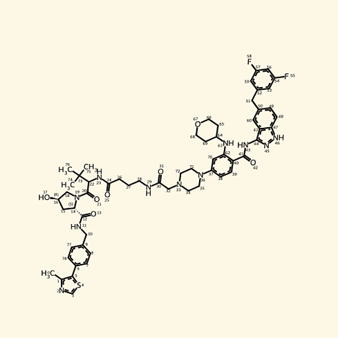 Cc1ncsc1-c1ccc(CNC(=O)[C@@H]2C[C@@H](O)CN2C(=O)C(NC(=O)CCCNC(=O)CN2CCN(c3ccc(C(=O)Nc4n[nH]c5ccc(Cc6cc(F)cc(F)c6)cc45)c(NC4CCOCC4)c3)CC2)C(C)(C)C)cc1